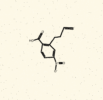 C=CCCc1cc([N+](=O)[O-])ccc1C(=O)O